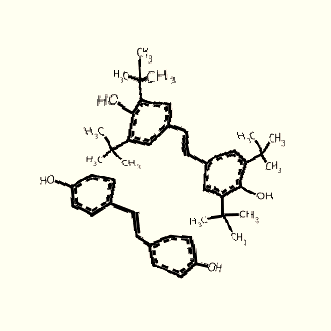 CC(C)(C)c1cc(/C=C/c2cc(C(C)(C)C)c(O)c(C(C)(C)C)c2)cc(C(C)(C)C)c1O.Oc1ccc(/C=C/c2ccc(O)cc2)cc1